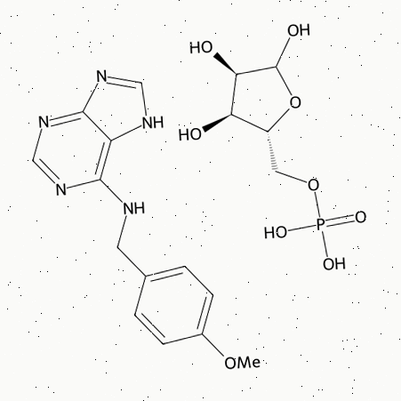 COc1ccc(CNc2ncnc3nc[nH]c23)cc1.O=P(O)(O)OC[C@H]1OC(O)[C@H](O)[C@@H]1O